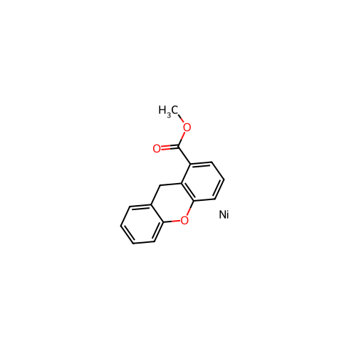 COC(=O)c1cccc2c1Cc1ccccc1O2.[Ni]